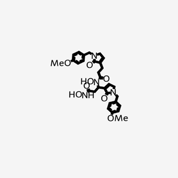 COc1ccc(CN2CC=C(CCC(=O)N(O)C(CC(=O)NO)C3=CCN(Cc4ccc(OC)cc4)C3=O)C2=O)cc1